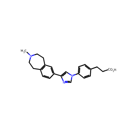 CN1CCc2ccc(-c3cn(-c4ccc(CCC(=O)O)cc4)cn3)cc2CC1